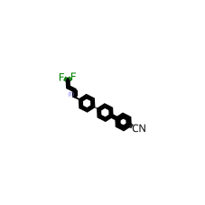 N#Cc1ccc(C2CCC([C@H]3CC[C@H](/C=C/CC(F)F)CC3)CC2)cc1